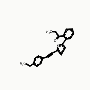 CCC(=O)c1ccccc1-c1ccc(C#Cc2ccc(CC)cc2)s1